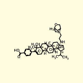 CC(C)[C@@H]1CC[C@]2(NCCN3C[C@@H]4CC3CO4)CC[C@]3(C)[C@H](CC[C@@H]4[C@@]5(C)CC=C(c6ccc(C(=O)O)cc6)C(C)(C)[C@@H]5CC[C@]43C)[C@@H]12